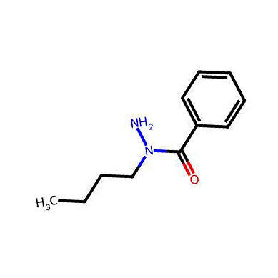 CCCCN(N)C(=O)c1ccccc1